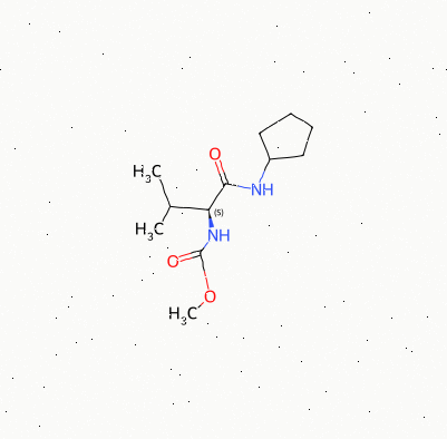 COC(=O)N[C@H](C(=O)NC1CCCC1)C(C)C